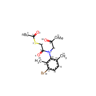 CCCCC(=O)SCC(=O)N(CC(=O)OC)c1c(C)ccc(Br)c1C